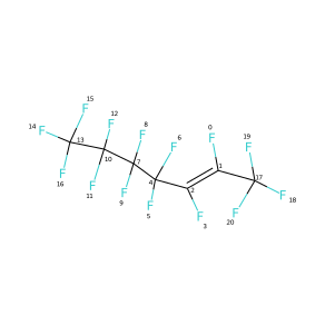 F/C(=C(/F)C(F)(F)C(F)(F)C(F)(F)C(F)(F)F)C(F)(F)F